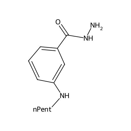 CCCCCNc1cccc(C(=O)NN)c1